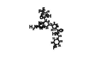 CC(NC(=O)c1cc(-c2csc(C(=O)NCc3ccc(F)cc3)c2)cn2nc(N)nc12)C(F)(F)F